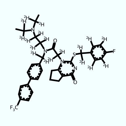 [2H]c1c([2H])c(C([2H])([2H])Sc2nc(=O)c3c(n2C([2H])([2H])C(=O)N(C([2H])([2H])c2ccc(-c4ccc(C(F)(F)F)cc4)cc2)C([2H])([2H])C([2H])([2H])N(C([2H])([2H])C)C([2H])([2H])C)CCC3)c([2H])c([2H])c1F